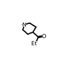 CCC(=O)C1CC[N]CC1